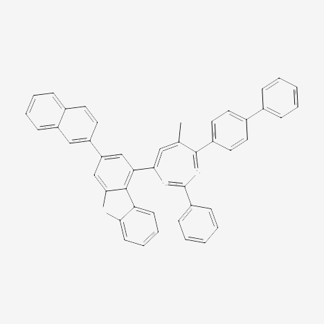 CC1=C=C(c2cc(-c3ccc4ccccc4c3)cc3oc4ccccc4c23)N=C(c2ccccc2)N=C1c1ccc(-c2ccccc2)cc1